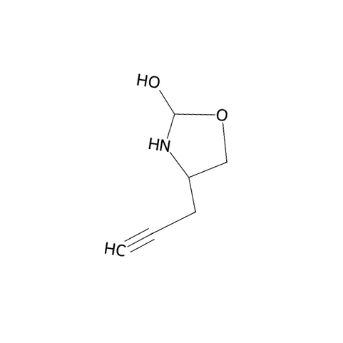 C#CCC1COC(O)N1